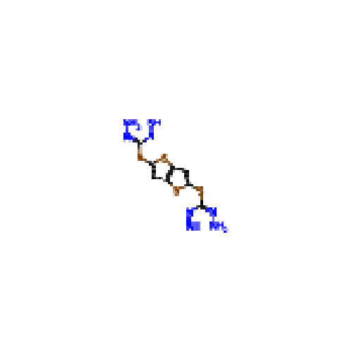 N=NC(=NN)Sc1cc2sc(SC(N=N)=NN)cc2s1